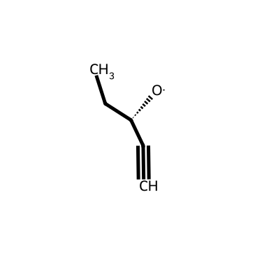 C#C[C@@H]([O])CC